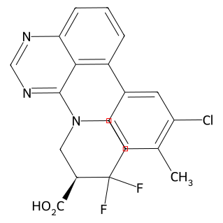 Cc1ccc(-c2cccc3ncnc(N4CCC(F)(F)[C@@H](C(=O)O)C4)c23)cc1Cl